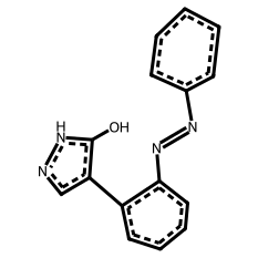 Oc1[nH]ncc1-c1ccccc1N=Nc1ccccc1